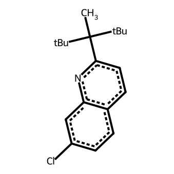 CC(C)(C)C(C)(c1ccc2ccc(Cl)cc2n1)C(C)(C)C